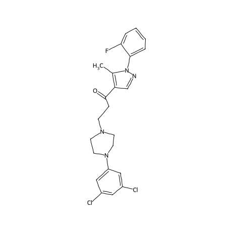 Cc1c(C(=O)CCN2CCN(c3cc(Cl)cc(Cl)c3)CC2)cnn1-c1ccccc1F